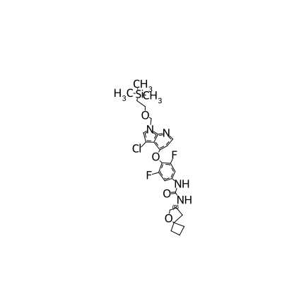 C[Si](C)(C)CCOCn1cc(Cl)c2c(Oc3c(F)cc(NC(=O)N[C@H]4COC5(CCC5)C4)cc3F)ccnc21